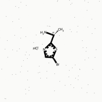 C[C@@H](N)c1ncc(Br)s1.Cl